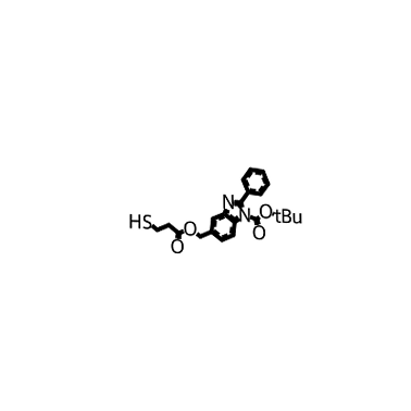 CC(C)(C)OC(=O)n1c(-c2ccccc2)nc2cc(COC(=O)CCS)ccc21